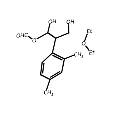 CCOCC.Cc1ccc(C(CO)C(O)OC=O)c(C)c1